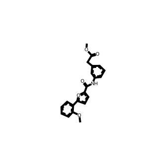 COC(=O)Cc1cccc(NC(=O)c2ccc(-c3ccccc3OC)o2)c1